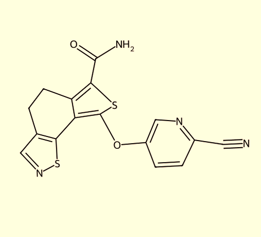 N#Cc1ccc(Oc2sc(C(N)=O)c3c2-c2sncc2CC3)cn1